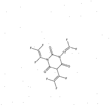 O=C1C(C(F)=C(F)F)C(=O)N(C(F)=C(F)F)C(=O)[N]1[Cf]=[C](F)F